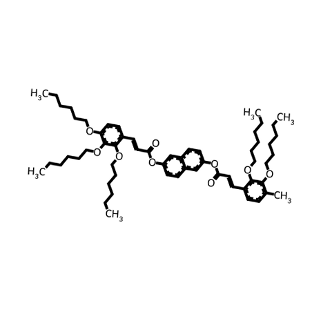 CCCCCCOc1ccc(/C=C/C(=O)Oc2ccc3cc(OC(=O)/C=C/c4ccc(C)c(OCCCCCC)c4OCCCCCC)ccc3c2)c(OCCCCCC)c1OCCCCCC